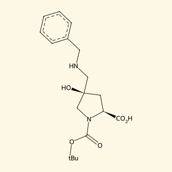 CC(C)(C)OC(=O)N1C[C@](O)(CNCc2ccccc2)C[C@H]1C(=O)O